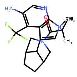 CC(C)C(=O)N1CC2CCC(C1)C2c1cn(C)c2ncc(N)c(C(F)(F)F)c12